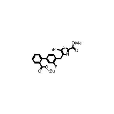 CCCc1sc(C(=O)OC)nc1Cc1ccc(-c2ccccc2C(=O)OC(C)(C)C)cc1F